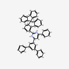 c1ccc(-c2cc(-c3ccccc3)cc(-c3cc(-c4ccccc4)nc(-c4cccc5c4-c4ccccc4C54c5ccccc5-c5ccccc54)n3)c2)cc1